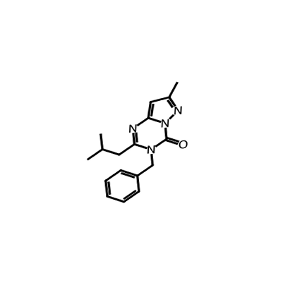 Cc1cc2nc(CC(C)C)n(Cc3ccccc3)c(=O)n2n1